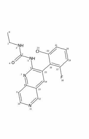 CCNC(=O)Nc1nc2ccncc2cc1-c1c(F)cccc1Cl